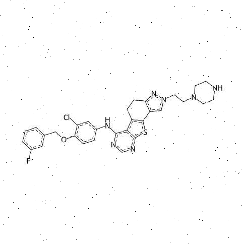 Fc1cccc(COc2ccc(Nc3ncnc4sc5c(c34)CCc3nn(CCN4CCNCC4)cc3-5)cc2Cl)c1